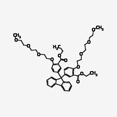 CCOC(=O)c1cc(C2(c3ccc(OCCOCCOCCOC)c(C(=O)OCC)c3)c3ccccc3-c3ccccc32)ccc1OCCOCCOCCOC